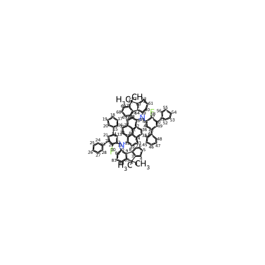 CC1(C)c2ccccc2-c2c(N(c3cc(-c4ccccc4)cc(-c4ccccc4)c3F)c3ccc4ccc5c(N(c6cc(-c7ccccc7)cc(-c7ccccc7)c6F)c6cccc7c6-c6ccccc6C7(C)C)ccc6ccc3c4c65)cccc21